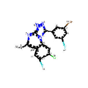 CNc1nc2nnc(-c3cc(F)cc(Br)c3)n2c2cc(Cl)c(F)cc12